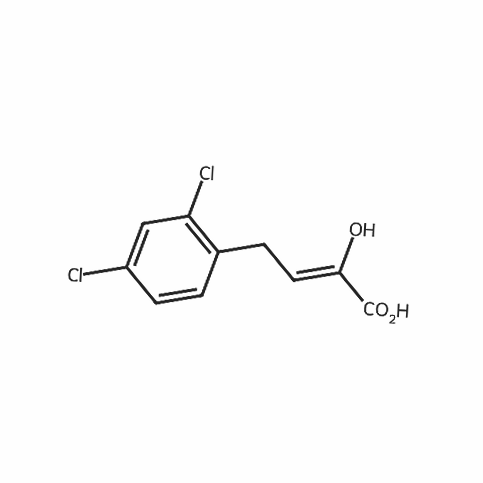 O=C(O)C(O)=CCc1ccc(Cl)cc1Cl